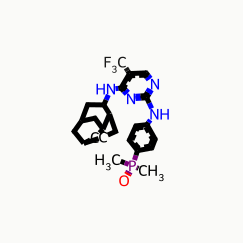 CP(C)(=O)c1ccc(Nc2ncc(C(F)(F)F)c(NC3CC4CC5CCC3C(C5)C4)n2)cc1